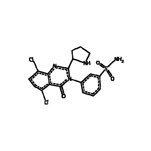 NS(=O)(=O)c1cccc(-n2c(C3CCCN3)nc3c(Cl)ccc(Cl)c3c2=O)c1